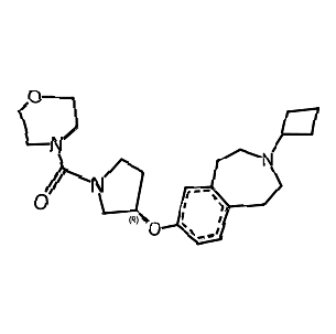 O=C(N1CCOCC1)N1CC[C@@H](Oc2ccc3c(c2)CCN(C2CCC2)CC3)C1